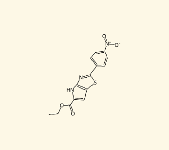 CCOC(=O)c1cc2sc(-c3ccc([N+](=O)[O-])cc3)nc2[nH]1